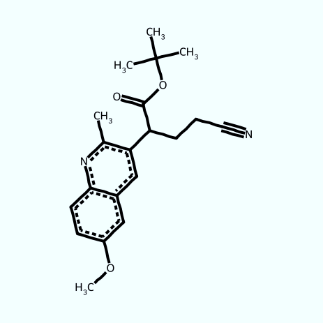 COc1ccc2nc(C)c(C(CCC#N)C(=O)OC(C)(C)C)cc2c1